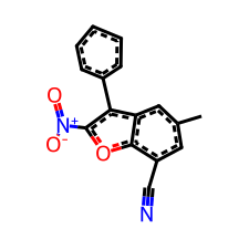 Cc1cc(C#N)c2oc([N+](=O)[O-])c(-c3ccccc3)c2c1